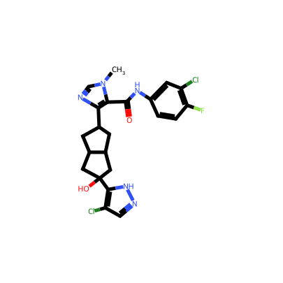 Cn1cnc(C2CC3CC(O)(c4[nH]ncc4Cl)CC3C2)c1C(=O)Nc1ccc(F)c(Cl)c1